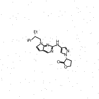 CC[C@H](Cn1ccc2cnc(Nc3cnn([C@@H]4CCOC4=O)c3)nc21)C(C)C